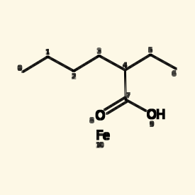 CCCCC(CC)C(=O)O.[Fe]